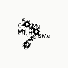 CO.COc1cc2ncnc(Nc3ccc(F)c(Cl)c3)c2cc1OCCCN1CCOCC1